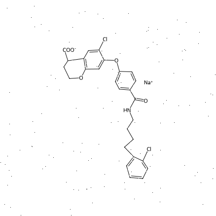 O=C(NCCCCc1ccccc1Cl)c1ccc(Oc2cc3c(cc2Cl)C(C(=O)[O-])CCO3)cc1.[Na+]